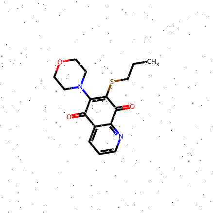 CCCSC1=C(N2CCOCC2)C(=O)c2cccnc2C1=O